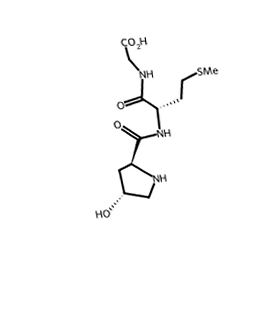 CSCC[C@H](NC(=O)[C@@H]1C[C@@H](O)CN1)C(=O)NCC(=O)O